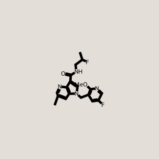 COc1ncc(F)cc1Cn1cc(C(=O)NCC(C)F)c2ncc(C)cc21